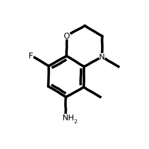 Cc1c(N)cc(F)c2c1N(C)CCO2